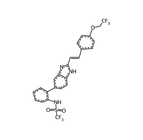 O=S(=O)(Nc1ccccc1-c1ccc2[nH]c(C=Cc3ccc(OCC(F)(F)F)cc3)nc2c1)C(F)(F)F